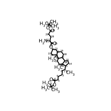 C[C@H](CCCCC(=O)OC(C)(C)C)C1CCC2C3CCC4CC(OC(=O)[C@@H](N)CCC(=O)OC(C)(C)C)CC[C@]4(C)C3CCC21C